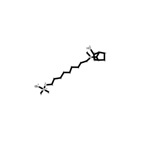 CN(CCCCCCCCCO[Si](C)(C)C(C)(C)C)C1C2CCC1C(O)C2